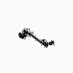 CC(C(=O)NC(C(=O)N1C[C@@H](NC(=O)COCCOCCOCCOCCOc2cc3nccc(Nc4ccc5scnc5c4)c3cc2S(=O)(=O)C(C)(C)C)C[C@H]1C(=O)O)C(C)(C)C)N(C)C(=O)OC(C)(C)C